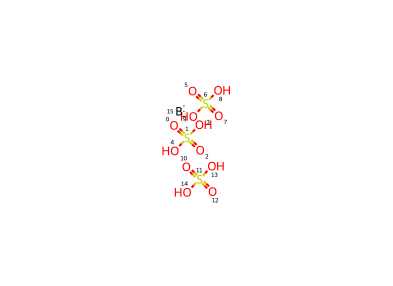 O=S(=O)(O)O.O=S(=O)(O)O.O=S(=O)(O)O.[B]